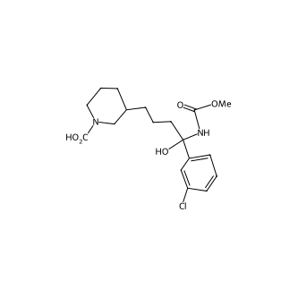 COC(=O)NC(O)(CCCC1CCCN(C(=O)O)C1)c1cccc(Cl)c1